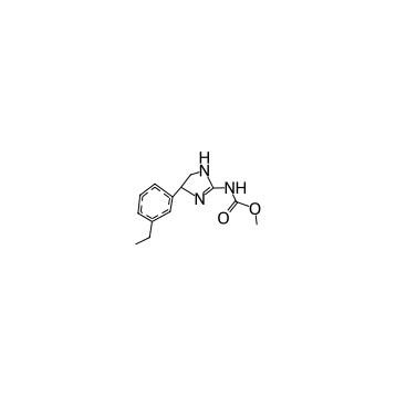 CCc1cccc(C2CNC(NC(=O)OC)=N2)c1